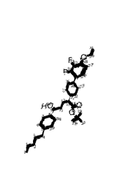 CCCCC[C@H]1CC[C@H](C(O)CCC(C(=O)OC(C)(C)C)[C@H]2CC[C@H](c3ccc(OCC)c(F)c3F)CC2)CC1